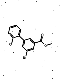 COC(=O)c1cc(Br)cc(-c2ccccc2Cl)c1